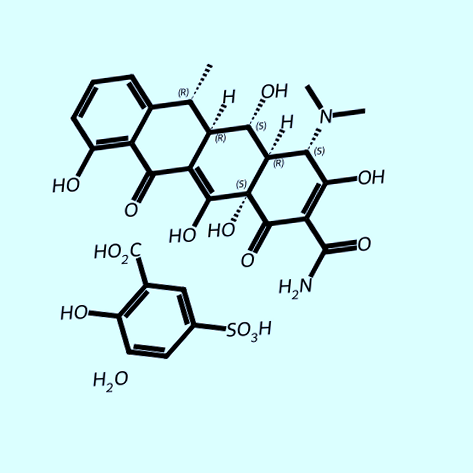 C[C@H]1c2cccc(O)c2C(=O)C2=C(O)[C@]3(O)C(=O)C(C(N)=O)=C(O)[C@@H](N(C)C)[C@@H]3[C@@H](O)[C@@H]21.O.O=C(O)c1cc(S(=O)(=O)O)ccc1O